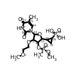 COCCOC1C(OP(C)(=O)OC)C(C2CC2P(=O)(O)O)OC1n1cc(C)c(=O)[nH]c1=O